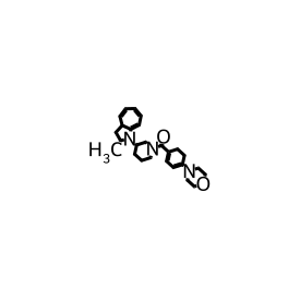 CC1CC2C=CC=CC=C2N1C1CCCN(C(=O)C2=CC=C(N3CCOCC3)CC2)C1